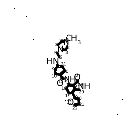 CN1CCN(CCNc2ccc(C(=O)Nc3ccc(-c4ccco4)c4c3C(=O)NC4)cc2)CC1